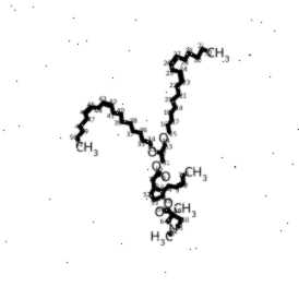 CC/C=C\CC1C(CC(=O)OCC(COCCCCCCCC/C=C\C/C=C\CCCCC)OCCCCCCCC/C=C\C/C=C\CCCCC)CCC1OC(=O)C1(C)CCN(C)C1